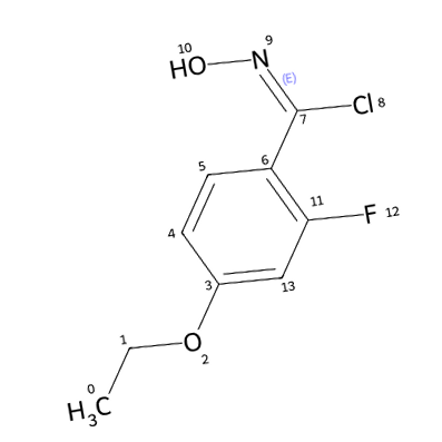 CCOc1ccc(/C(Cl)=N\O)c(F)c1